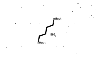 [BiH3].[CH2]CCCCCCCCCCCCCCCCC